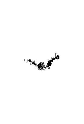 Cc1cc(OCCCC(=O)NCCN)cc(C)c1S(=O)(=O)N[C@@H](CNC(=O)c1ccc2c(cnn2CCCNC2=NCCCN2)c1)C(=O)O